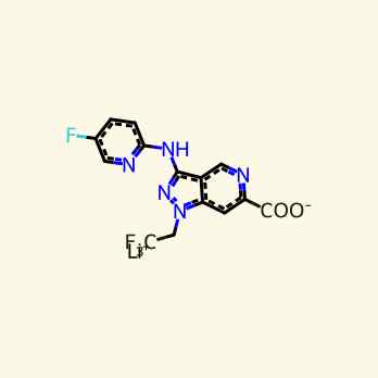 O=C([O-])c1cc2c(cn1)c(Nc1ccc(F)cn1)nn2CC(F)(F)F.[Li+]